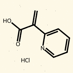 C=C(C(=O)O)c1ccccn1.Cl